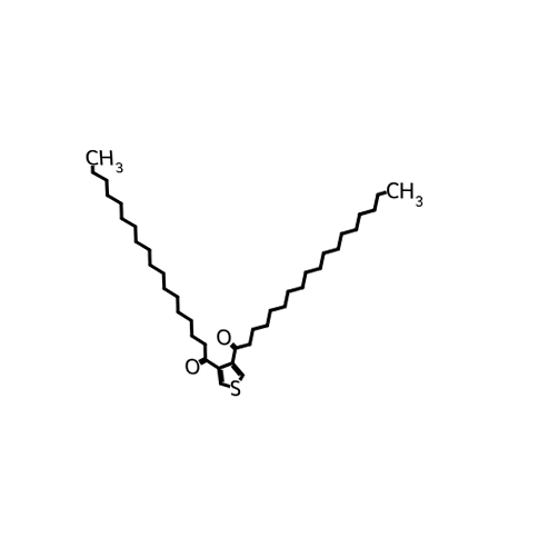 CCCCCCCCCCCCCCCCCC(=O)c1cscc1C(=O)CCCCCCCCCCCCCCCCC